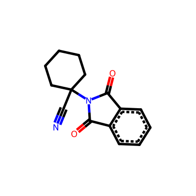 N#CC1(N2C(=O)c3ccccc3C2=O)CCCCC1